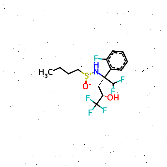 CCCC[S@+]([O-])N[C@@](C[C@H](O)C(F)(F)F)(c1ccccc1F)C(F)F